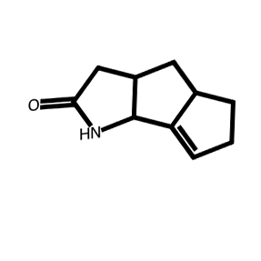 O=C1CC2CC3CCC=C3C2N1